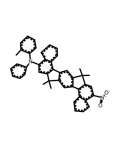 Cc1ccccc1N(c1ccccc1)c1cc2c(c3ccccc13)-c1cc3c(cc1C2(C)C)-c1c(cc([N+](=O)[O-])c2ccccc12)C3(C)C